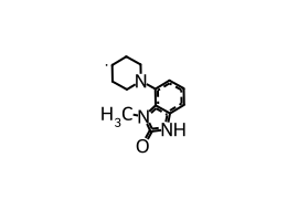 Cn1c(=O)[nH]c2cccc(N3CC[CH]CC3)c21